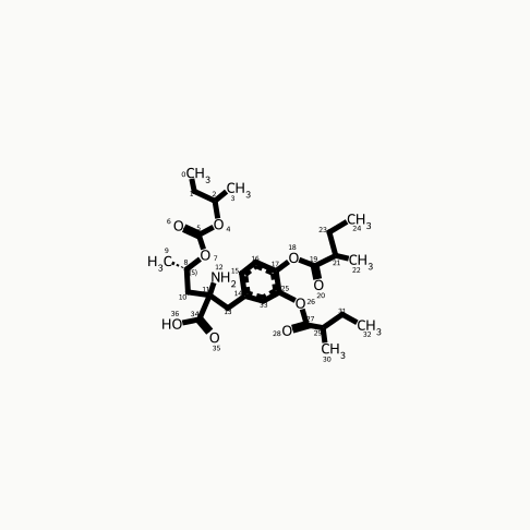 CCC(C)OC(=O)O[C@@H](C)CC(N)(Cc1ccc(OC(=O)C(C)CC)c(OC(=O)C(C)CC)c1)C(=O)O